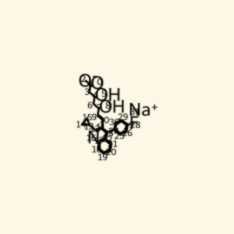 O=C([O-])C[C@H](O)C[C@H](O)C=Cc1c(C2CC2)nc2ccccc2c1-c1ccc(F)cc1.[Na+]